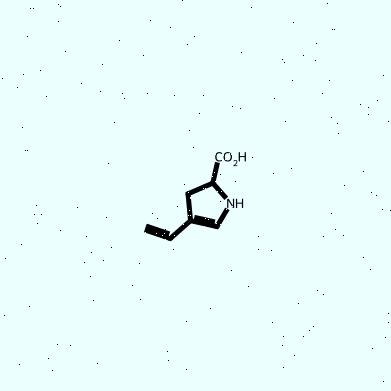 C=CC1=CNC(C(=O)O)C1